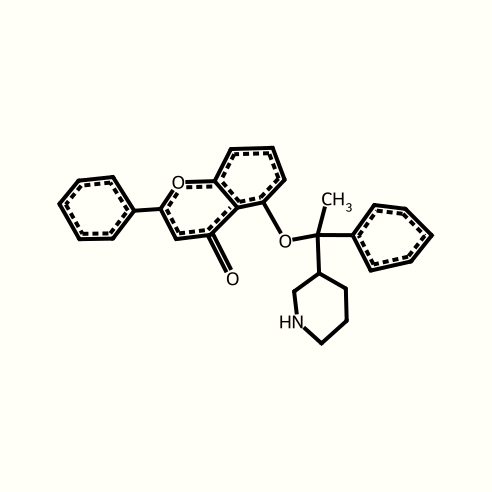 CC(Oc1cccc2oc(-c3ccccc3)cc(=O)c12)(c1ccccc1)C1CCCNC1